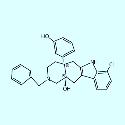 Oc1cccc([C@@]23CCN(Cc4ccccc4)C[C@@]2(O)Cc2c([nH]c4c(Cl)cccc24)C3)c1